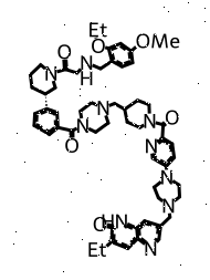 CCOc1cc(OC)ccc1CNCC(=O)N1CCC[C@@H](c2cccc(C(=O)N3CCN(CC4CCN(C(=O)c5ccc(N6CCN(Cc7cnc8cc(CC)c(=O)[nH]c8c7)CC6)cn5)CC4)CC3)c2)C1